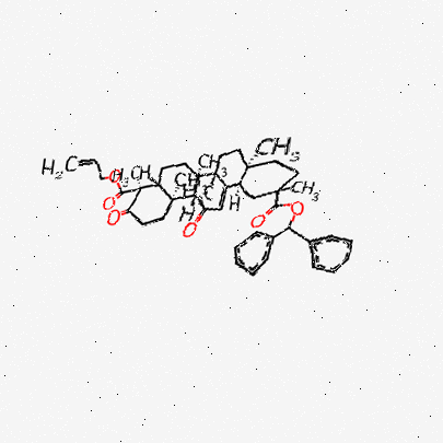 C=CCOC(=O)[C@]1(C)C(=O)CC[C@]2(C)[C@H]3C(=O)C=C4[C@@H]5C[C@@](C)(C(=O)OC(c6ccccc6)c6ccccc6)CC[C@]5(C)CC[C@@]4(C)[C@]3(C)CC[C@@H]12